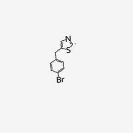 Brc1ccc(Cc2cn[c]s2)cc1